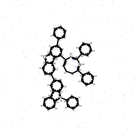 C1=C(c2cc(-c3ccccc3)cc3oc4ccc(-c5ccc6c(c5)c5ccccc5n6-c5ccccc5)cc4c23)/N=C(c2ccccc2)\N=C(\c2ccccc2)CC\1